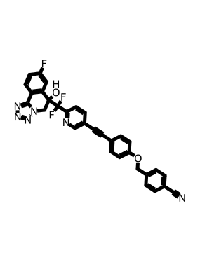 N#Cc1ccc(COc2ccc(C#Cc3ccc(C(F)(F)C4(O)Cn5nnnc5-c5ccc(F)cc54)nc3)cc2)cc1